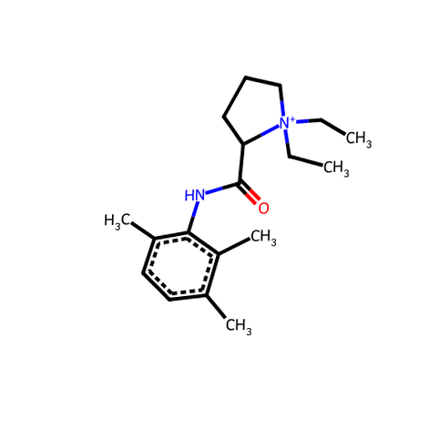 CC[N+]1(CC)CCCC1C(=O)Nc1c(C)ccc(C)c1C